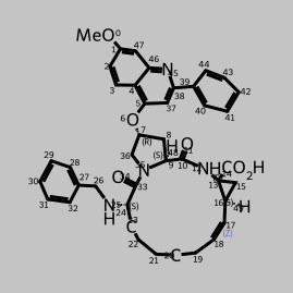 COc1ccc2c(O[C@@H]3C[C@H]4C(=O)N[C@]5(C(=O)O)C[C@H]5/C=C\CCCCC[C@H](NCc5ccccc5)C(=O)N4C3)cc(-c3ccccc3)nc2c1